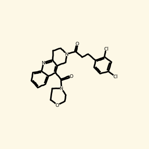 O=C(CCc1ccc(Cl)cc1Cl)N1CCc2nc3ccccc3c(C(=O)N3CCOCC3)c2C1